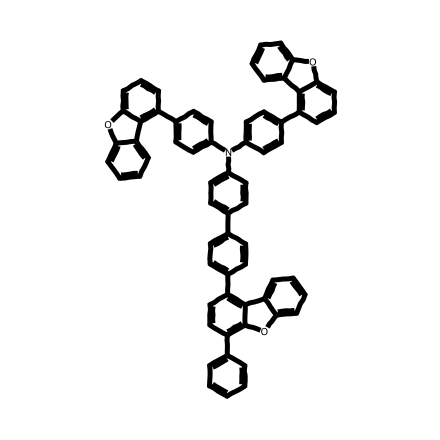 c1ccc(-c2ccc(-c3ccc(-c4ccc(N(c5ccc(-c6cccc7oc8ccccc8c67)cc5)c5ccc(-c6cccc7oc8ccccc8c67)cc5)cc4)cc3)c3c2oc2ccccc23)cc1